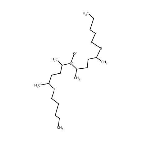 CCCCCSC(C)CCC(C)[S+]([O-])C(C)CCC(C)SCCCCC